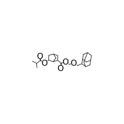 CC(C)C(=O)OC1CC2CC(C(=O)OCOCC3C4CC5CC(C4)CC3C5)C1C2